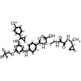 C[C@@H](NC(=O)C(=O)NCC[C@H](NC(=O)c1ccc(Nc2nc(NC3(c4ccc(Cl)cc4)CC3)nc(OCC(F)(F)F)n2)cc1)C(=O)O)C1CC1